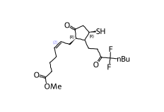 CCCCC(F)(F)C(=O)CCC1[C@H](S)CC(=O)[C@@H]1C/C=C\CCCC(=O)OC